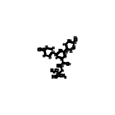 CC(C)(O)CNC(=O)c1cc(-c2ccc(Cl)cc2)nc(-c2cnc(Cl)nc2)n1